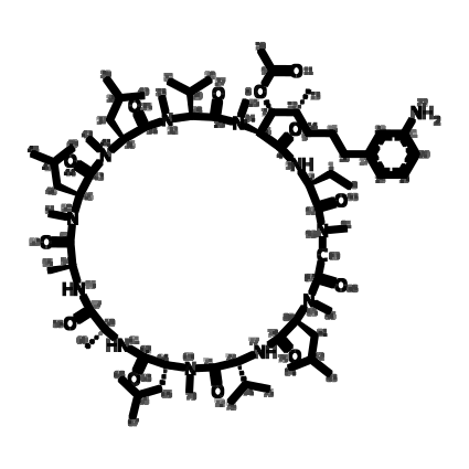 CC[C@@H]1NC(=O)[C@H]([C@H](OC(C)=O)[C@H](C)CCCc2cccc(N)c2)N(C)C(=O)[C@H](C(C)C)N(C)C(=O)[C@H](CC(C)C)N(C)C(=O)[C@H](CC(C)C)N(C)C(=O)[C@H](C)NC(=O)[C@@H](C)NC(=O)[C@@H](CC(C)C)N(C)C(=O)[C@@H](C(C)C)NC(=O)[C@H](CC(C)C)N(C)C(=O)CN(C)C1=O